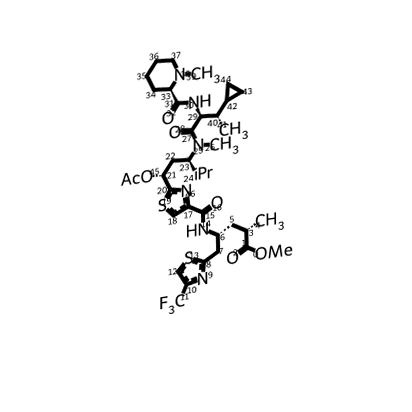 COC(=O)[C@@H](C)C[C@H](Cc1nc(C(F)(F)F)cs1)NC(=O)c1csc([C@@H](C[C@H](C(C)C)N(C)C(=O)[C@@H](NC(=O)[C@H]2CCCCN2C)[C@@H](C)C2CC2)OC(C)=O)n1